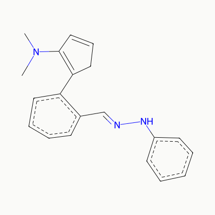 CN(C)C1=C(c2ccccc2C=NNc2ccccc2)CC=C1